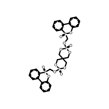 O=P1(OCP2(=O)Oc3ccccc3-c3ccccc32)OCC2(CO1)COP(=O)(OCP1(=O)Oc3ccccc3-c3ccccc31)OC2